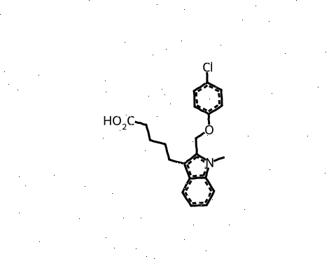 Cn1c(COc2ccc(Cl)cc2)c(CCCCC(=O)O)c2ccccc21